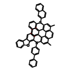 Cc1cc(N(c2ccccc2)c2ccc3ccccc3c2)c2c3ccccc3c3c(N(c4ccc(-c5ccccc5)cc4)c4cccc5c4oc4ccccc45)cc(C)c4ccc1c2c43